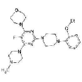 CCOc1ccccc1N1CCN(c2nc(N3CCOCC3)c(F)c(N3CCN(C)CC3)n2)CC1